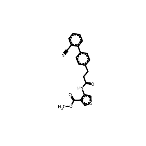 COC(=O)c1cscc1NC(=O)CCc1ccc(-c2ccccc2C#N)cc1